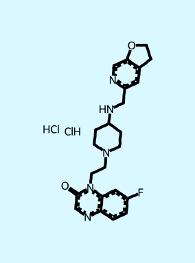 Cl.Cl.O=c1cnc2ccc(F)cc2n1CCN1CCC(NCc2cc3c(cn2)OCC3)CC1